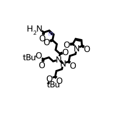 CC(C)(C)OC(=O)CCN(C(=O)CCC(=O)/C=C\C(N)=O)N(CCC(=O)OC(C)(C)C)C(=O)CCN1C(=O)C=CC1=O